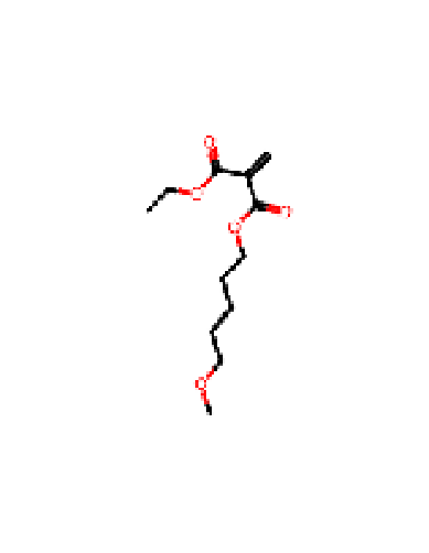 C=C(C(=O)OCC)C(=O)OCCCCCOC